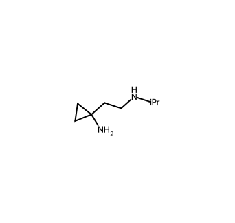 CC(C)NCCC1(N)CC1